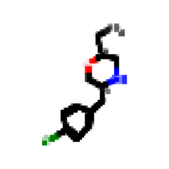 FC(F)(F)C[C@H]1CN[C@@H](Cc2ccc(Cl)cc2)CO1